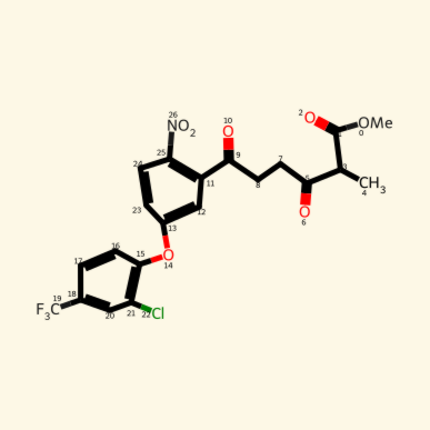 COC(=O)C(C)C(=O)CCC(=O)c1cc(Oc2ccc(C(F)(F)F)cc2Cl)ccc1[N+](=O)[O-]